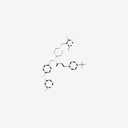 Cc1cc(Nc2ccc(CN(C(=O)C=Cc3ccc(C(F)(F)F)cc3)C3CCN(Cc4c(C)noc4C)CC3)cc2)ccn1